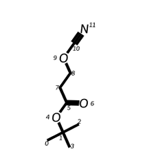 CC(C)(C)OC(=O)CCOC#N